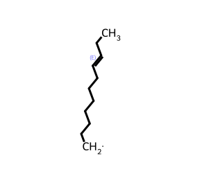 [CH2]CCCCCC/C=C/CC